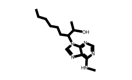 CCCCCCC(C(C)O)n1cnc2c(NC)ncnc21